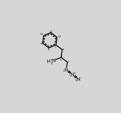 [N-]=[N+]=NCC(N)Cc1ccccc1